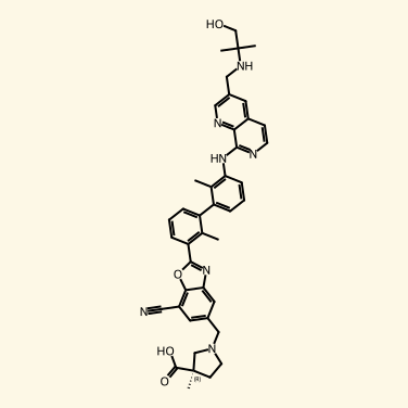 Cc1c(Nc2nccc3cc(CNC(C)(C)CO)cnc23)cccc1-c1cccc(-c2nc3cc(CN4CC[C@@](C)(C(=O)O)C4)cc(C#N)c3o2)c1C